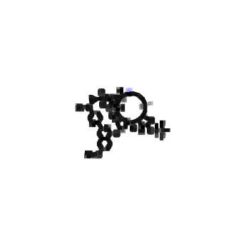 COc1ccc2c(O[C@@H]3C[C@H]4C(=O)N[C@]5(C(=O)NS(=O)(=O)C6CC6)C[C@H]5/C=C\CC[C@H](C)C[C@@H](C)[C@H](NC(=O)OC(C)(C)C(C)(F)F)C(=O)N4C3)nc(-c3ccc(OC(C)C)cn3)cc2c1